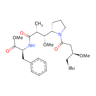 CC[C@H](C)C[C@@H](CC(=O)N1CCC[C@H]1[C@H](OC)[C@@H](C)C(=O)N[C@@H](Cc1ccccc1)C(=O)OC)OC